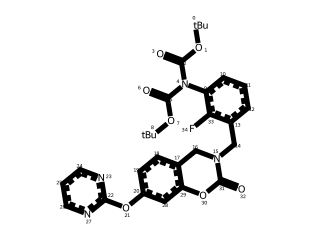 CC(C)(C)OC(=O)N(C(=O)OC(C)(C)C)c1cccc(CN2Cc3ccc(Oc4ncccn4)cc3OC2=O)c1F